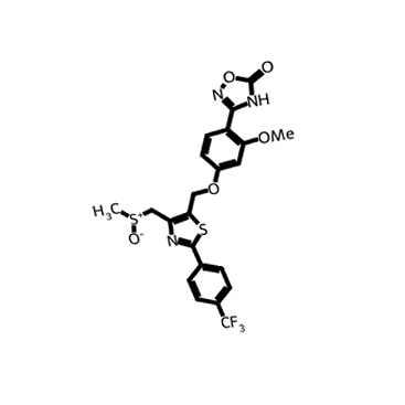 COc1cc(OCc2sc(-c3ccc(C(F)(F)F)cc3)nc2C[S+](C)[O-])ccc1-c1noc(=O)[nH]1